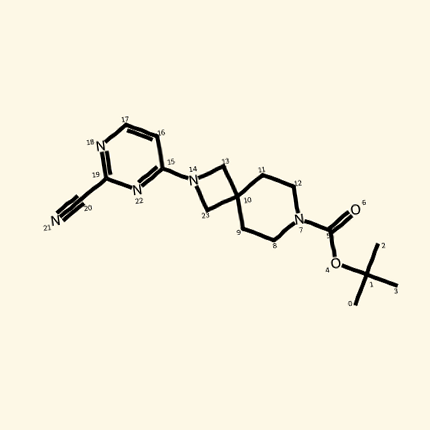 CC(C)(C)OC(=O)N1CCC2(CC1)CN(c1ccnc(C#N)n1)C2